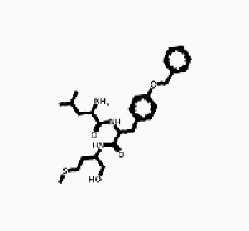 CSCCC(CO)NC(=O)C(Cc1ccc(OCc2ccccc2)cc1)NC(=O)C(N)CC(C)C